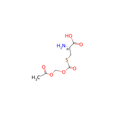 CC(=O)OCOC(=O)SC[C@H](N)C(=O)O